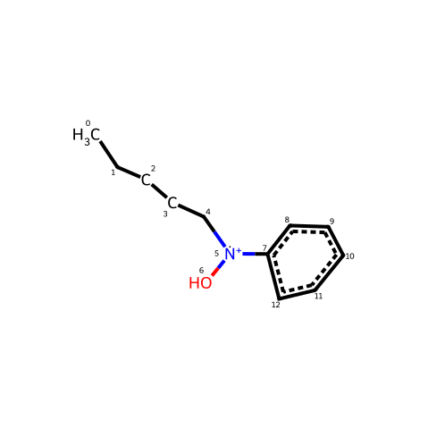 CCCCC[N+](O)c1ccccc1